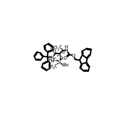 CC(C)(C)[Si](C)(C)O[C@@H](C(=O)NC(c1ccccc1)(c1ccccc1)c1ccccc1)[C@H](NC(=O)OCC1c2ccccc2-c2ccccc21)C(=O)O